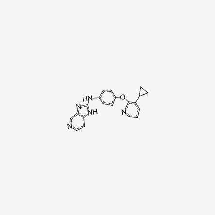 c1cnc(Oc2ccc(Nc3nc4cnccc4[nH]3)cc2)c(C2CC2)c1